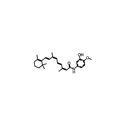 COc1ccc(NC(=O)C=C(C)C=CC=C(C)C=CC2=C(C)CCCC2(C)C)cc1O